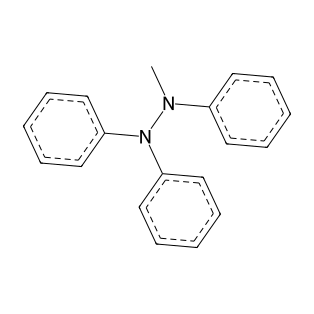 CN(c1ccccc1)N(c1ccccc1)c1ccccc1